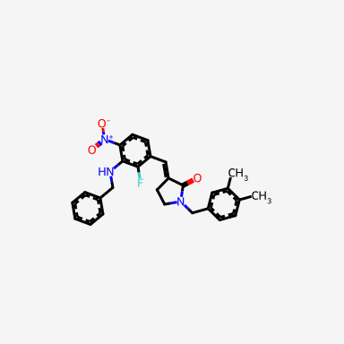 Cc1ccc(CN2CC/C(=C\c3ccc([N+](=O)[O-])c(NCc4ccccc4)c3F)C2=O)cc1C